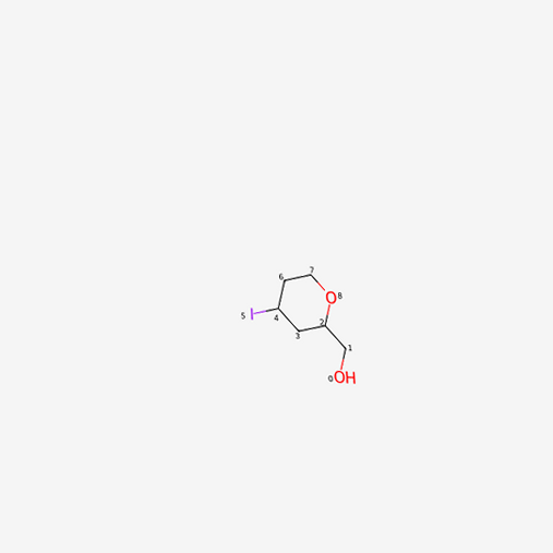 OCC1CC(I)CCO1